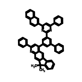 CC1(C)c2ccccc2-c2cc3c(-c4cc(-c5ccccc5)cc(-c5nc(-c6ccccc6)cc(-c6ccc7ccccc7c6)n5)c4)cc(-c4ccccc4)nc3cc21